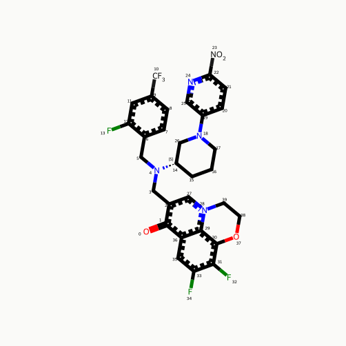 O=c1c(CN(Cc2ccc(C(F)(F)F)cc2F)[C@H]2CCCN(c3ccc([N+](=O)[O-])nc3)C2)cn2c3c(c(F)c(F)cc13)OCC2